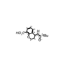 CC(C)(C)[S@+]([O-])NC1CCOc2c(C(=O)O)cccc21